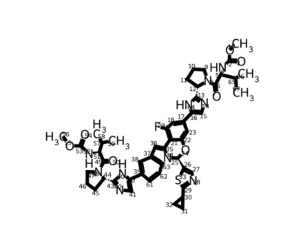 COC(=O)N[C@H](C(=O)N1CCC[C@H]1c1ncc(-c2cc(F)c3c(c2)O[C@@H](c2cnc(C4CC4)s2)n2c-3cc3cc(-c4cnc([C@@H]5CCCN5C(=O)[C@@H](NC(=O)OC)C(C)C)[nH]4)ccc32)[nH]1)C(C)C